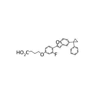 O=C(O)CCCOc1ccc(-c2cc3cc(C4(c5ccccc5)CC4)ccc3o2)c(F)c1